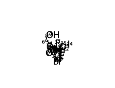 O=C(NOCC1CC1CO)c1cc(Br)c(F)c(F)c1Nc1ccc(I)cc1F